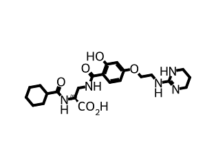 O=C(NC[C@H](NC(=O)C1CCCCC1)C(=O)O)c1ccc(OCCNC2=NCCCN2)cc1O